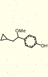 COC(CC1CC1)c1ccc(O)cc1